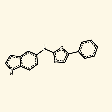 c1ccc(-c2cnc(Nc3ccc4[nH]ccc4c3)o2)cc1